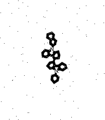 c1ccc(-n2c3ccccc3c3c(-c4cccc5c4c4ccccc4n5-c4ccc5ccccc5c4)cccc32)cc1